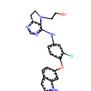 OCCN1CCc2ncnc(Nc3ccc(Oc4ccc5cc[nH]c5c4)c(Cl)c3)c21